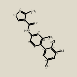 Cc1nocc1C(=O)Nc1ccc(-c2cc(O)cc(Cl)c2Cl)c(N)n1